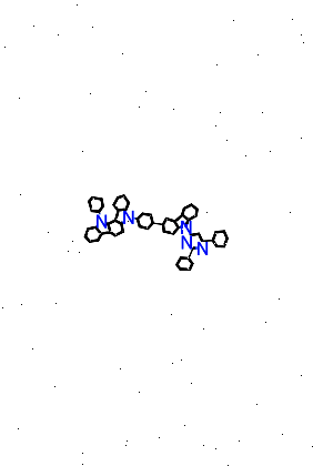 c1ccc(-c2cc(-n3c4ccccc4c4cc(-c5ccc(-n6c7ccccc7c7c6ccc6c8ccccc8n(-c8ccccc8)c67)cc5)ccc43)nc(-c3ccccc3)n2)cc1